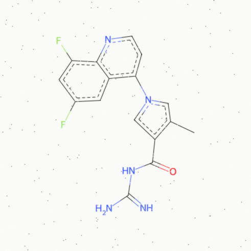 Cc1cn(-c2ccnc3c(F)cc(F)cc23)cc1C(=O)NC(=N)N